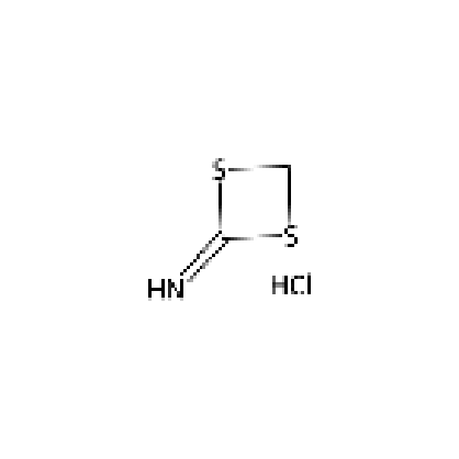 Cl.N=C1SCS1